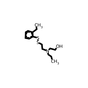 CCCN(CCO)CCSSc1ccccc1CC